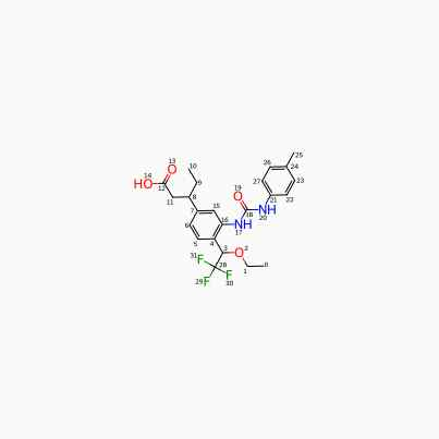 CCOC(c1ccc(C(CC)CC(=O)O)cc1NC(=O)Nc1ccc(C)cc1)C(F)(F)F